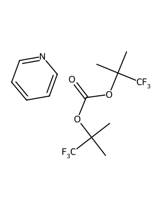 CC(C)(OC(=O)OC(C)(C)C(F)(F)F)C(F)(F)F.c1ccncc1